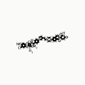 CC1(C)[C@H](NC(=O)c2ccc(N3CCC(CCN4CCN(c5ccc6c(=O)n([C@@H]7CCC(=O)NC7=O)ncc6c5)CC4)C3)cc2)C(C)(C)[C@H]1Oc1ccc(C#N)c(Cl)c1